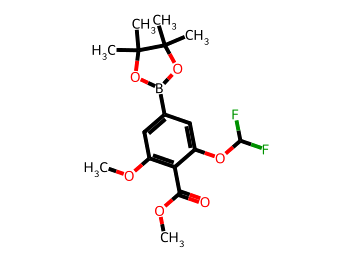 COC(=O)c1c(OC)cc(B2OC(C)(C)C(C)(C)O2)cc1OC(F)F